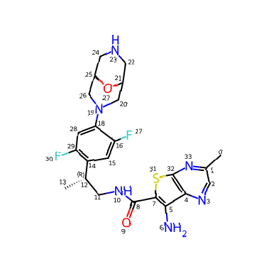 Cc1cnc2c(N)c(C(=O)NC[C@H](C)c3cc(F)c(N4CC5CNCC(C4)O5)cc3F)sc2n1